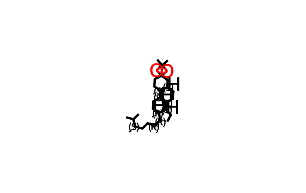 CC(C)[C@@H](C)CC[C@@H](C)[C@H]1CC[C@H]2[C@@H]3CC[C@H]4CC5(CC[C@]4(C)[C@H]3CC[C@]12C)OC(C)(C)O5